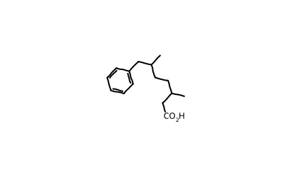 CC(CCC(C)Cc1ccccc1)CC(=O)O